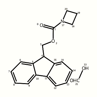 O=C(OCC1c2ccccc2-c2ccccc21)N1CCC1.O=CO